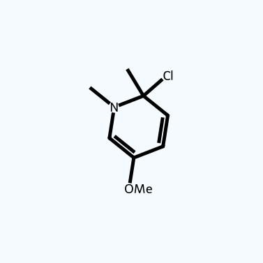 COC1=CN(C)C(C)(Cl)C=C1